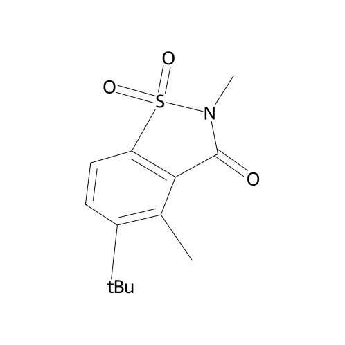 Cc1c(C(C)(C)C)ccc2c1C(=O)N(C)S2(=O)=O